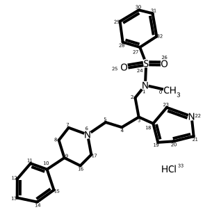 CN(CC(CCN1CCC(c2ccccc2)CC1)c1cccnc1)S(=O)(=O)c1ccccc1.Cl